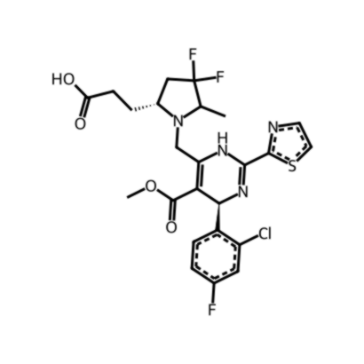 COC(=O)C1=C(CN2C(C)C(F)(F)C[C@H]2CCC(=O)O)NC(c2nccs2)=N[C@H]1c1ccc(F)cc1Cl